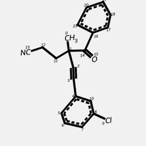 CC(C#Cc1cccc(Cl)c1)(CCC#N)C(=O)c1ccccc1